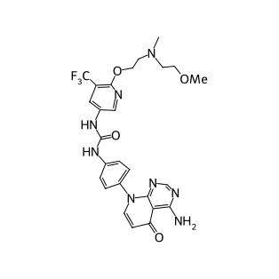 COCCN(C)CCOc1ncc(NC(=O)Nc2ccc(-n3ccc(=O)c4c(N)ncnc43)cc2)cc1C(F)(F)F